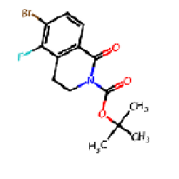 CC(C)(C)OC(=O)N1CCc2c(ccc(Br)c2F)C1=O